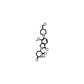 COc1c(N2CCC(C=O)CC2)ccc2c1CN(C1CCC(=O)NC1=O)C2=O